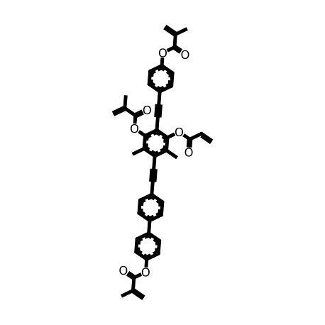 C=CC(=O)Oc1c(C)c(C#Cc2ccc(-c3ccc(OC(=O)C(=C)C)cc3)cc2)c(C)c(OC(=O)C(=C)C)c1C#Cc1ccc(OC(=O)C(=C)C)cc1